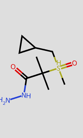 CC(C)(C(=O)NN)[SH](C)(=O)CC1CC1